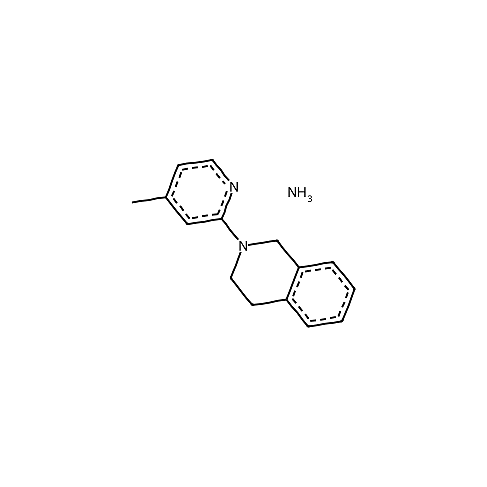 Cc1ccnc(N2CCc3ccccc3C2)c1.N